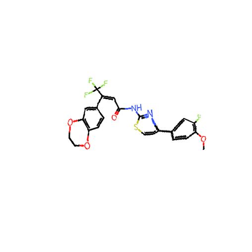 COc1ccc(-c2csc(NC(=O)/C=C(\c3ccc4c(c3)OCCO4)C(F)(F)F)n2)cc1F